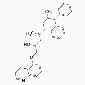 CN(CCN(C)C(c1ccccc1)c1ccccc1)CC(O)COc1cccc2ncccc12